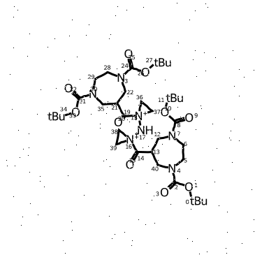 CC(C)(C)OC(=O)N1CCN(C(=O)OC(C)(C)C)CC(C(=O)[N+]2(N[N+]3(C(=O)C4CN(C(=O)OC(C)(C)C)CCN(C(=O)OC(C)(C)C)C4)CC3)CC2)C1